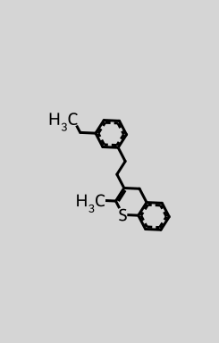 CCc1cccc(CCC2=C(C)Sc3ccccc3C2)c1